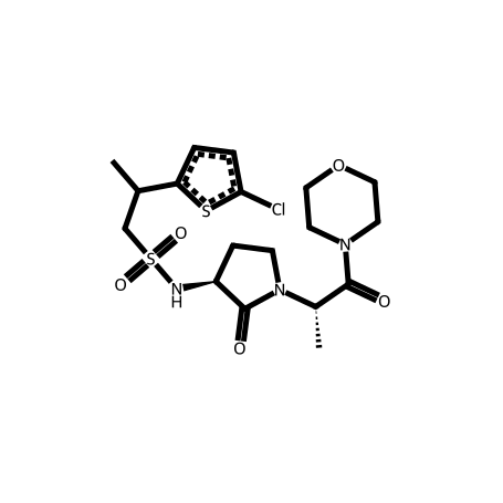 CC(CS(=O)(=O)N[C@H]1CCN([C@@H](C)C(=O)N2CCOCC2)C1=O)c1ccc(Cl)s1